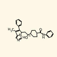 CC1=C(c2ccccc2)C(C[C@H](O)C2CCC(C(=O)Nc3ccccc3)CC2)n2cncc21